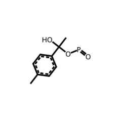 Cc1ccc(C(C)(O)OP=O)cc1